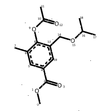 COC(=O)c1cc(C)c(OC(C)=O)c(COC(C)C)c1